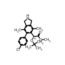 COC(=O)[C@@H](OC(C)(C)C)c1c(C)c2c(c(C)c1-c1ccc(Cl)cc1)CNC2